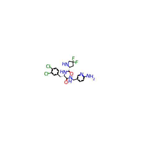 Nc1ccc(CNC(=O)[C@H](Cc2ccc(Cl)c(Cl)c2)NC(=O)[C@H]2CC(F)(F)CN2)cn1